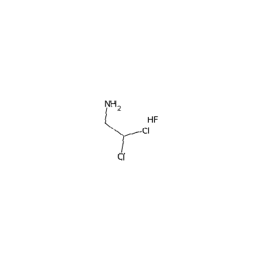 F.NCC(Cl)Cl